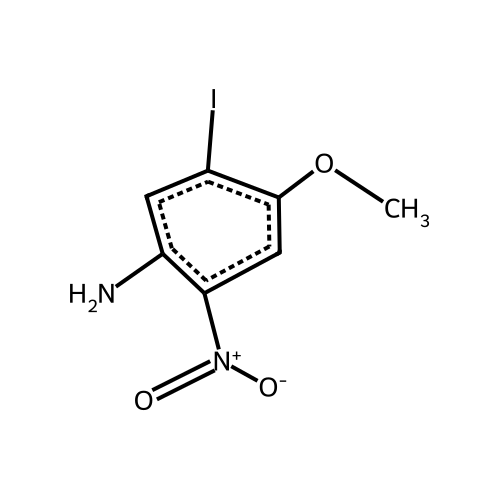 COc1cc([N+](=O)[O-])c(N)cc1I